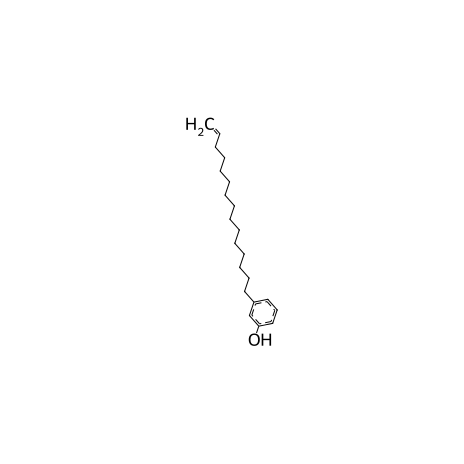 C=CCCCCCCCCCCCCCc1cccc(O)c1